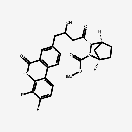 CC(C)(C)OC(=O)N1[C@@H]2CC[C@@H](C2)[C@H]1C(=O)CC(C#N)Cc1ccc2c(c1)c(=O)[nH]c1c(F)c(F)ccc12